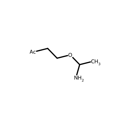 CC(=O)CCOC(C)N